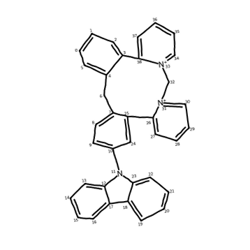 c1ccc2c(c1)Cc1ccc(-n3c4ccccc4c4ccccc43)cc1-c1cccc[n+]1C[n+]1ccccc1-2